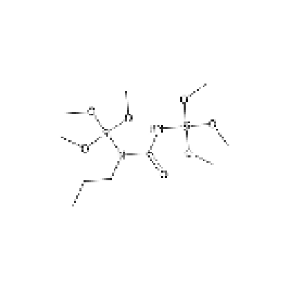 CCCN(C(=O)N[Si](OC)(OC)OC)[Si](OC)(OC)OC